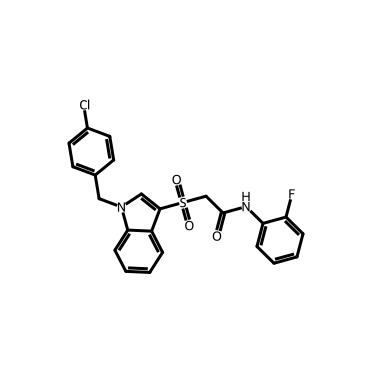 O=C(CS(=O)(=O)c1cn(Cc2ccc(Cl)cc2)c2ccccc12)Nc1ccccc1F